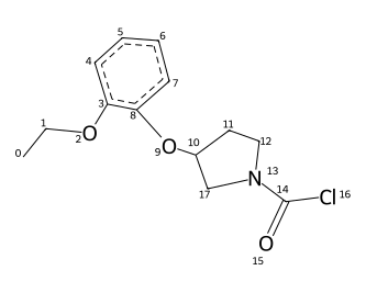 CCOc1ccccc1OC1CCN(C(=O)Cl)C1